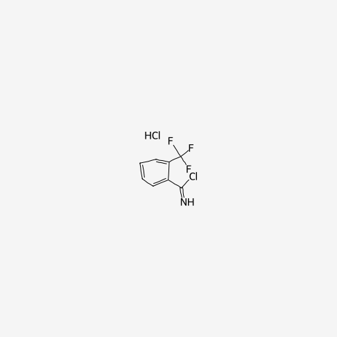 Cl.N=C(Cl)c1ccccc1C(F)(F)F